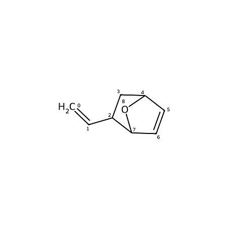 C=CC1CC2C=CC1O2